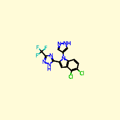 FC(F)(F)c1n[nH]c(-c2cc3c(Cl)c(Cl)ccc3n2-c2cn[nH]c2)n1